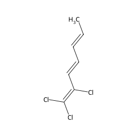 C/C=C/C=C/C(Cl)=C(Cl)Cl